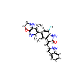 Cc1c(-c2cc(F)c3c(c2C)C(=Cc2cc4ccccc4[nH]2)C(=O)N3)cnc2c1NCCO2